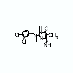 Cc1c(C=N)nc(NCc2ccc(Cl)c(Cl)c2)[nH]c1=O